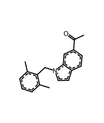 CC(=O)c1ccc2ccn(Cc3c(C)cccc3C)c2c1